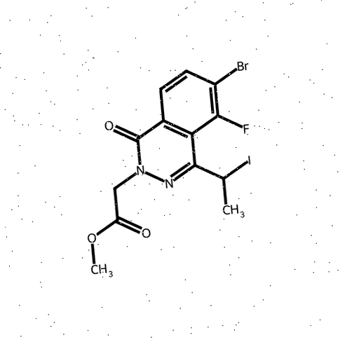 COC(=O)Cn1nc(C(C)I)c2c(F)c(Br)ccc2c1=O